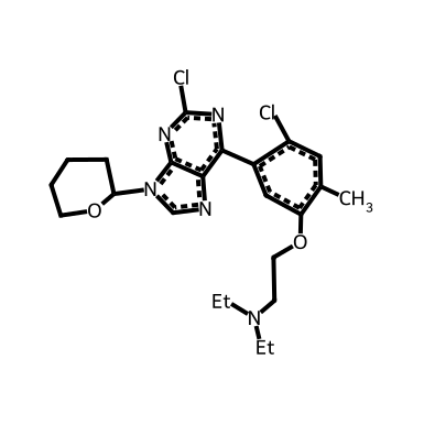 CCN(CC)CCOc1cc(-c2nc(Cl)nc3c2ncn3C2CCCCO2)c(Cl)cc1C